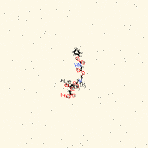 CN(CCOC(=O)CNC(=O)OCc1ccccc1)CC(=O)OC(C)(C)C(=O)OCC(=O)O